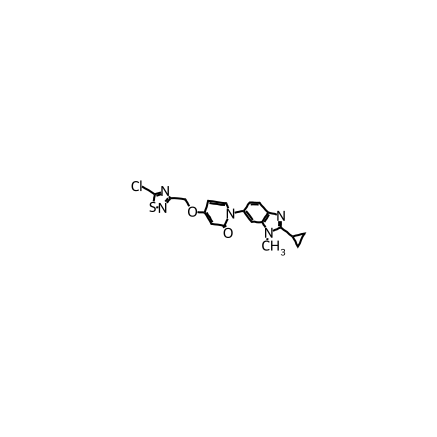 Cn1c(C2CC2)nc2ccc(-n3ccc(OCc4nsc(Cl)n4)cc3=O)cc21